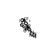 O=C(NCc1ccc(-c2ccccn2)s1)[C@H]1CN(c2cnc3cncnc3n2)CCN1S(=O)(=O)c1ccc(OC(F)(F)F)cc1